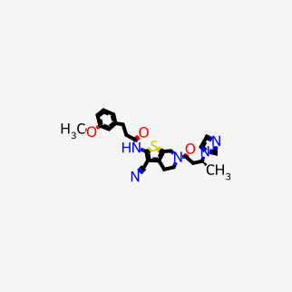 COc1cccc(CCC(=O)Nc2sc3c(c2C#N)CCN(C(=O)C[C@H](C)n2ccnc2)C3)c1